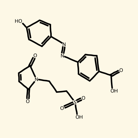 O=C(O)c1ccc(N=Nc2ccc(O)cc2)cc1.O=C1C=CC(=O)N1CCCS(=O)(=O)O